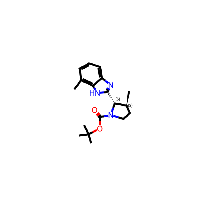 Cc1cccc2nc([C@@H]3[C@@H](C)CCN3C(=O)OC(C)(C)C)[nH]c12